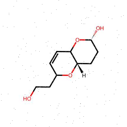 OCCC1C=CC2O[C@H](O)CC[C@@H]2O1